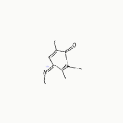 C/N=C1/C=C(C)C(=O)C(C)=C1C